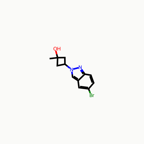 CC1(O)CC(n2cc3cc(Br)ccc3n2)C1